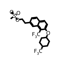 CS(=O)(=O)OCCc1ccc2ccc(OC3CCC(C(F)(F)F)CC3)c(C(F)(F)F)c2c1